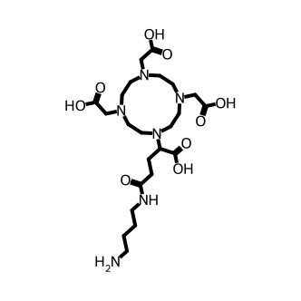 NCCCCNC(=O)CCC(C(=O)O)N1CCN(CC(=O)O)CCN(CC(=O)O)CCN(CC(=O)O)CC1